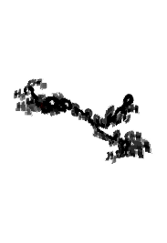 COC1OC(CNC(=O)CCBCCN(CCNC(=O)CCC(=O)OC2CC[C@]3(C)C(=CC[C@@H]4[C@H]5CC[C@@H]([C@@H](C)CCCC(C)C)[C@]5(C)CC[C@H]43)C2)C(=O)COCC(=O)[C@@H](N)Cc2c[nH]c3ccccc23)[C@H](C)[C@H](O)[C@@H]1O